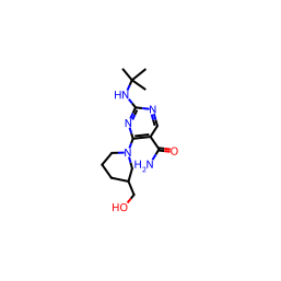 CC(C)(C)Nc1ncc(C(N)=O)c(N2CCCC(CO)C2)n1